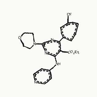 CCOC(=O)c1c(Nc2ccncc2)nc(N2CCOCC2)nc1-c1cccc(C#N)c1